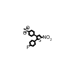 CS(=O)(=O)c1ccc(-c2cc([N+](=O)[O-])sc2-c2ccc(F)cc2)cc1